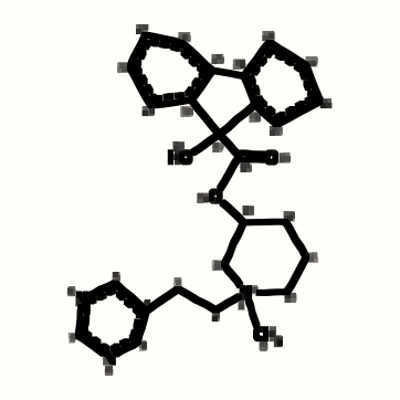 C[N+]1(CCc2cncnc2)CCCC(OC(=O)C2(O)c3ccccc3-c3ccccc32)C1